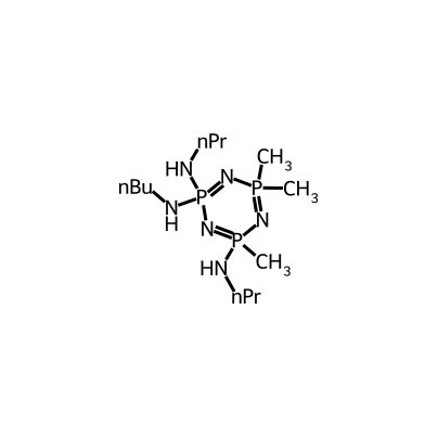 CCCCNP1(NCCC)=NP(C)(C)=NP(C)(NCCC)=N1